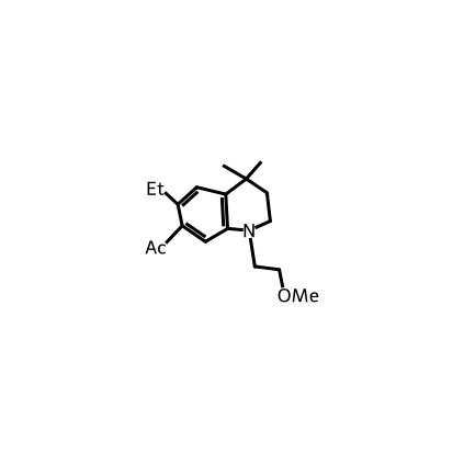 CCc1cc2c(cc1C(C)=O)N(CCOC)CCC2(C)C